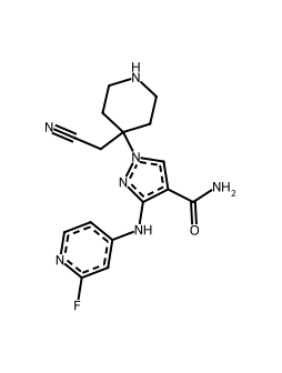 N#CCC1(n2cc(C(N)=O)c(Nc3ccnc(F)c3)n2)CCNCC1